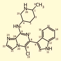 CC1CCC(Nc2nc(-c3c[nH]c4ccccc34)c(Cl)n3ccnc23)CN1